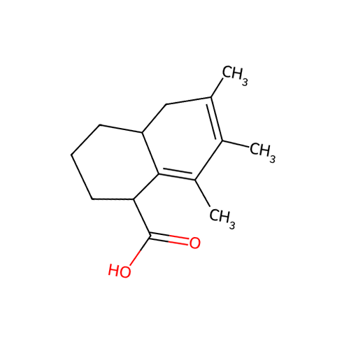 CC1=C(C)C(C)=C2C(CCCC2C(=O)O)C1